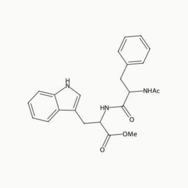 COC(=O)C(Cc1c[nH]c2ccccc12)NC(=O)C(Cc1ccccc1)NC(C)=O